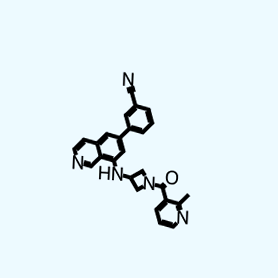 Cc1ncccc1C(=O)N1CC(Nc2cc(-c3cccc(C#N)c3)cc3ccncc23)C1